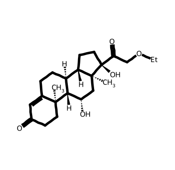 CCOCC(=O)[C@@]1(O)CC[C@H]2[C@@H]3CCC4=CC(=O)CC[C@]4(C)[C@H]3[C@@H](O)C[C@@]21C